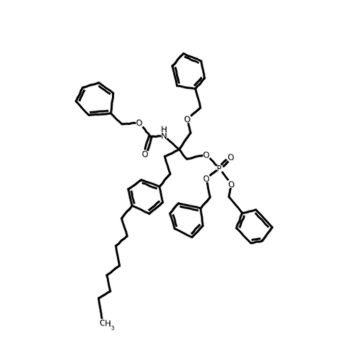 CCCCCCCCc1ccc(CCC(COCc2ccccc2)(COP(=O)(OCc2ccccc2)OCc2ccccc2)NC(=O)OCc2ccccc2)cc1